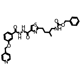 CC(CCc1nc(C(=O)NNC(=O)c2cccc(OCc3ccncc3)c2)cs1)CNC(=O)OCc1ccccc1